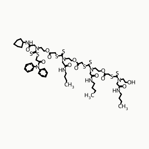 CCCCNC(=O)CN(CCO)C(=S)SCC(=O)OCCN(CC(=O)NCCCC)C(=S)SCC(=O)OCCN(CC(=O)NCCCC)C(=S)SCC(=O)OCCN(CC(=O)NC1CCCCC1)C(=S)SCC(=O)N(c1ccccc1)c1ccccc1